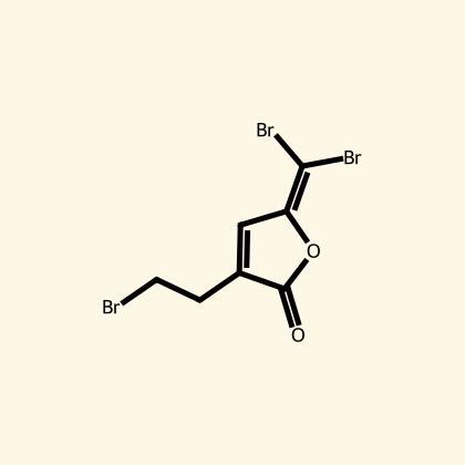 O=C1OC(=C(Br)Br)C=C1CCBr